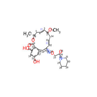 CO[C@@H]1/C=C/C[C@@H](C)OC(=O)c2c(O)cc(O)cc2CC(=N/OCC(=O)N2CCCCC2)/C=C/C1